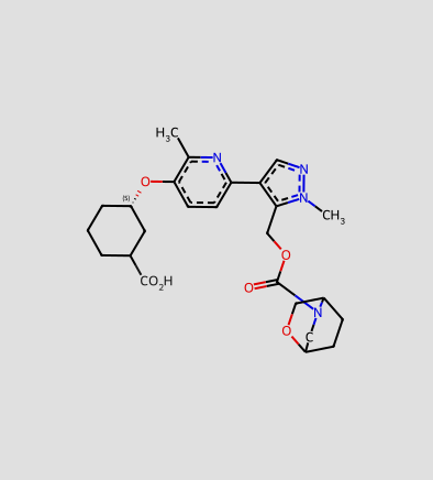 Cc1nc(-c2cnn(C)c2COC(=O)N2CC3CCC2CO3)ccc1O[C@H]1CCCC(C(=O)O)C1